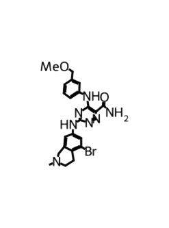 COCc1cccc(Nc2nc(Nc3cc(Br)c4c(c3)CN(C)CC4)nnc2C(N)=O)c1